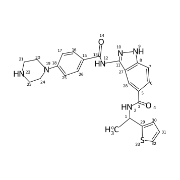 CC(NC(=O)c1ccc2[nH]nc(NC(=O)c3ccc(N4CCNCC4)cc3)c2c1)c1cccs1